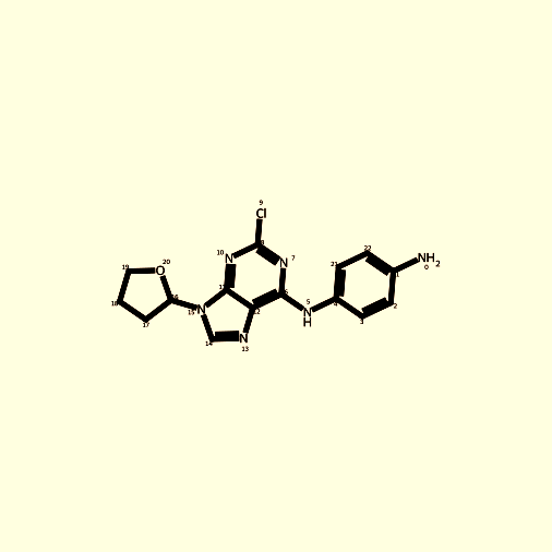 Nc1ccc(Nc2nc(Cl)nc3c2ncn3C2CCCO2)cc1